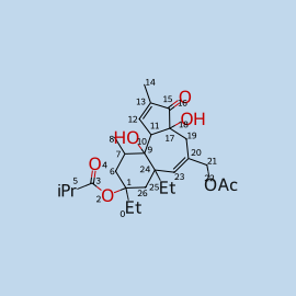 CCC1(OC(=O)C(C)C)CC(C)C2(O)C3C=C(C)C(=O)C3(O)CC(COC(C)=O)=CC2(CC)C1